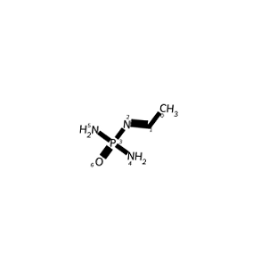 CC=NP(N)(N)=O